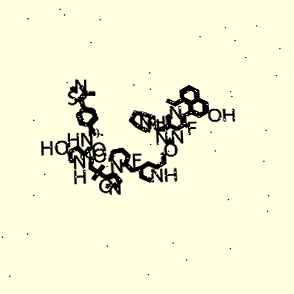 CCc1cccc2cc(O)cc(-c3ncc4c(N5CC6CCC(C5)N6)nc(OCCC5CC(F)(CC6CCCCN6c6cnoc6C(C)(C)CC(=O)[C@@]6(C(=O)N[C@@H](C)c7ccc(-c8scnc8C)cc7)CC(O)CN6)CCN5)nc4c3F)c12